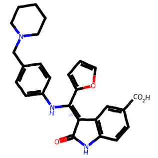 O=C1Nc2ccc(C(=O)O)cc2/C1=C(/Nc1ccc(CN2CCCCC2)cc1)c1ccco1